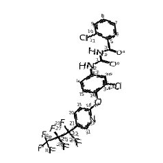 O=C(NC(=O)c1ccccc1Cl)Nc1ccc(Oc2ccc(C(F)(F)C(F)(F)C(F)(F)F)cn2)c(Cl)c1